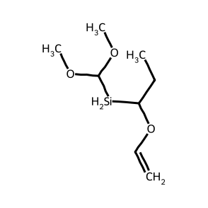 C=COC(CC)[SiH2]C(OC)OC